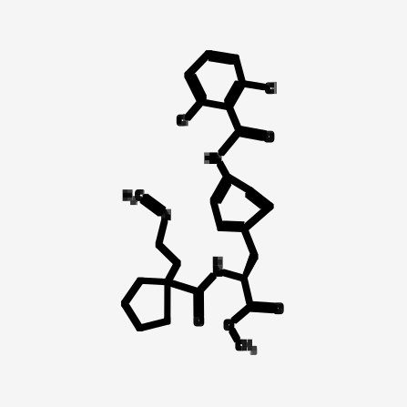 C=NCCC1(C(=O)N[C@@H](Cc2ccc(NC(=O)c3c(Cl)cccc3Cl)cc2)C(=O)OC)CCCC1